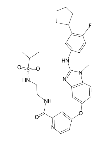 CC(C)S(=O)(=O)NCCNC(=O)c1cc(Oc2ccc3c(c2)nc(Nc2ccc(F)c(C4CCCC4)c2)n3C)ccn1